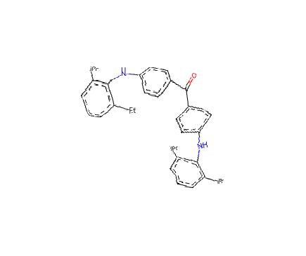 CCc1cccc(C(C)C)c1Nc1ccc(C(=O)c2ccc(Nc3c(C(C)C)cccc3C(C)C)cc2)cc1